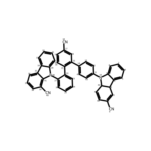 N#CC1=CC2c3ccccc3N(c3ccc(-c4cc(C#N)ccc4-c4ccccc4-n4c5ccccc5c5cccc(C#N)c54)cc3)C2C=C1